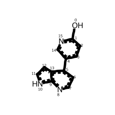 Oc1ccc(-c2ccnc3[nH]ccc23)cn1